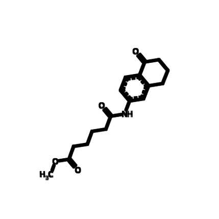 COC(=O)CCCCC(=O)Nc1ccc2c(c1)CCCC2=O